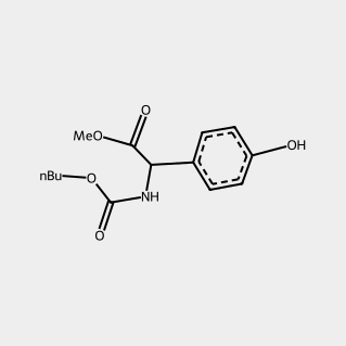 CCCCOC(=O)NC(C(=O)OC)c1ccc(O)cc1